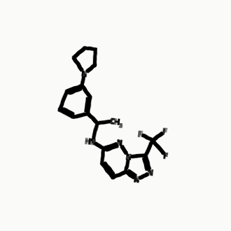 CC(Nc1ccc2nnc(C(F)(F)F)n2n1)c1cccc(N2CCCC2)c1